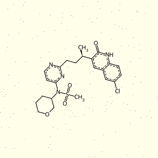 C[C@H](CCc1nccc(N(C2CCCOC2)S(C)(=O)=O)n1)c1cc2cc(Cl)ccc2[nH]c1=O